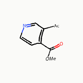 COC(=O)c1ccncc1C(C)=O